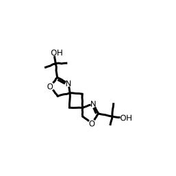 CC(C)(O)C1=NC2(CO1)CC1(COC(C(C)(C)O)=N1)C2